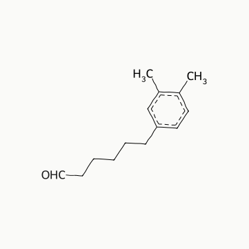 Cc1ccc(CCCCCC=O)cc1C